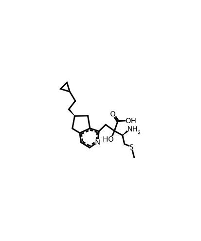 CSC[C@H](N)C(O)(Cc1nccc2c1C[C@H](CCC1CC1)C2)C(=O)O